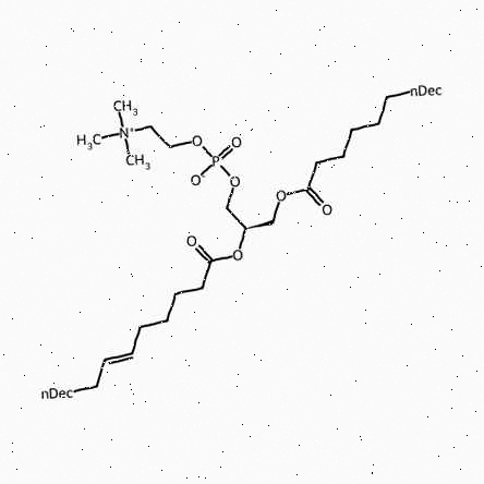 CCCCCCCCCCC/C=C/CCCCC(=O)O[C@H](COC(=O)CCCCCCCCCCCCCCC)COP(=O)([O-])OCC[N+](C)(C)C